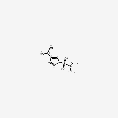 CN(C)S(=O)(=O)n1cc(B(O)O)cn1